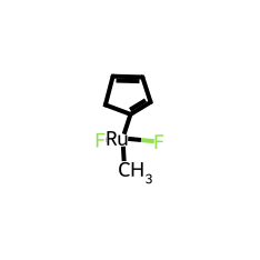 [CH3][Ru]([F])([F])[C]1=CC=CC1